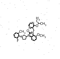 COc1cccc2c1n(Cc1nccnc1OC(C)C)c(=O)n2C1CCN(c2c(C)cccc2F)C1